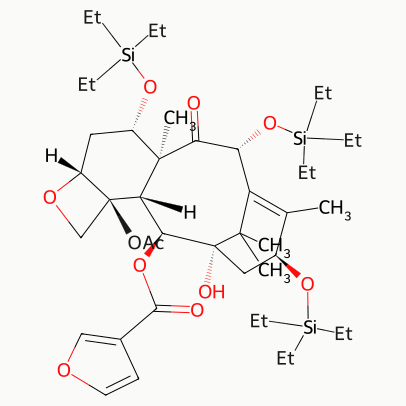 CC[Si](CC)(CC)O[C@H]1C(=O)[C@]2(C)[C@@H](O[Si](CC)(CC)CC)C[C@H]3OC[C@@]3(OC(C)=O)[C@H]2[C@H](OC(=O)c2ccoc2)[C@]2(O)C[C@H](O[Si](CC)(CC)CC)C(C)=C1C2(C)C